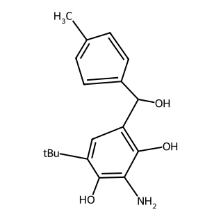 Cc1ccc(C(O)c2cc(C(C)(C)C)c(O)c(N)c2O)cc1